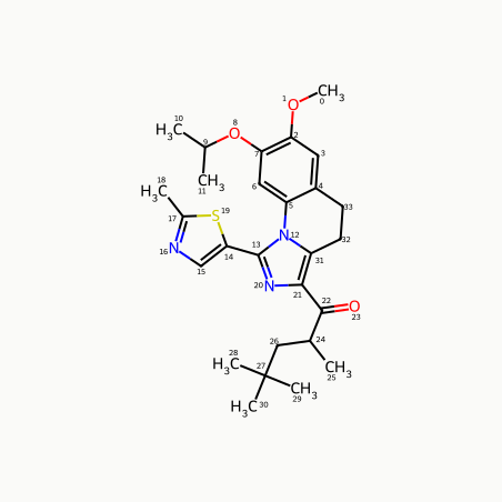 COc1cc2c(cc1OC(C)C)-n1c(-c3cnc(C)s3)nc(C(=O)C(C)CC(C)(C)C)c1CC2